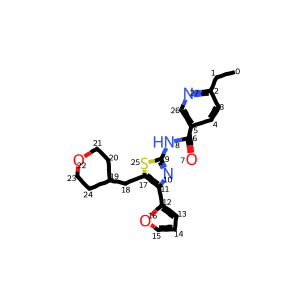 CCc1ccc(C(=O)Nc2nc(-c3ccco3)c(CC3CCOCC3)s2)cn1